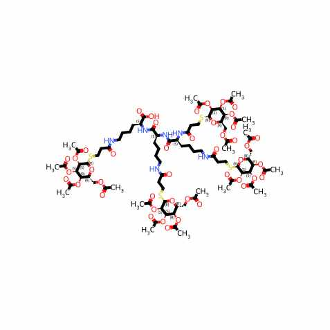 CC(=O)OC[C@H]1O[C@H](SCCC(=O)NCCCC[C@H](NC(=O)[C@H](CCCCNC(=O)CCS[C@H]2O[C@H](COC(C)=O)[C@@H](OC(C)=O)[C@H](OC(C)=O)[C@@H]2OC(C)=O)NC(=O)[C@H](CCCCNC(=O)CCS[C@H]2O[C@H](COC(C)=O)[C@@H](OC(C)=O)[C@H](OC(C)=O)[C@@H]2OC(C)=O)NC(=O)CCS[C@H]2O[C@H](COC(C)=O)[C@@H](OC(C)=O)[C@H](OC(C)=O)[C@@H]2OC(C)=O)C(=O)O)[C@@H](OC(C)=O)[C@@H](OC(C)=O)[C@@H]1OC(C)=O